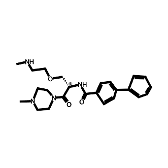 CNCCOC[C@H](NC(=O)c1ccc(-c2ccccc2)cc1)C(=O)N1CCN(C)CC1